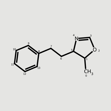 CC1OC=NC1CCc1ccccc1